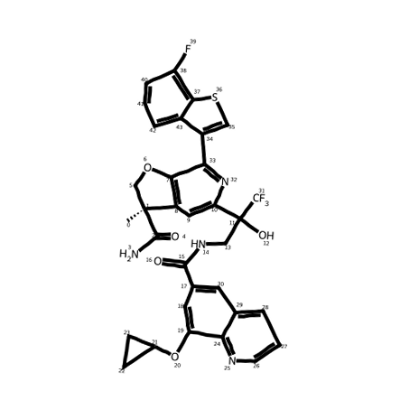 C[C@]1(C(N)=O)COc2c1cc(C(O)(CNC(=O)c1cc(OC3CC3)c3ncccc3c1)C(F)(F)F)nc2-c1csc2c(F)cccc12